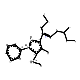 CCC/C(=C\CC(C)CC)c1nn(-c2ccccc2)c(NC)c1C